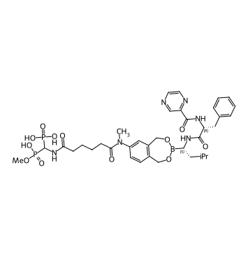 COP(=O)(O)C(NC(=O)CCCCC(=O)N(C)c1ccc2c(c1)COB([C@@H](CC(C)C)NC(=O)[C@@H](Cc1ccccc1)NC(=O)c1cnccn1)OC2)P(=O)(O)O